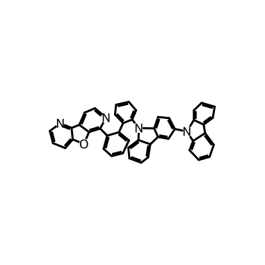 c1ccc(-c2nccc3c2oc2cccnc23)c(-c2ccccc2-n2c3ccccc3c3cc(-n4c5ccccc5c5ccccc54)ccc32)c1